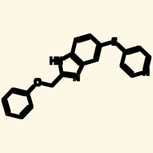 c1ccc(OCc2nc3cc(Sc4ccncc4)ccc3[nH]2)cc1